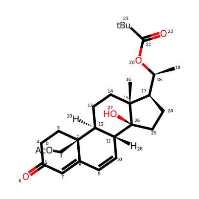 CC(=O)OC[C@]12CCC(=O)C=C1C=C[C@@H]1[C@@H]2CC[C@]2(C)[C@@H]([C@H](C)OC(=O)C(C)(C)C)CC[C@]12O